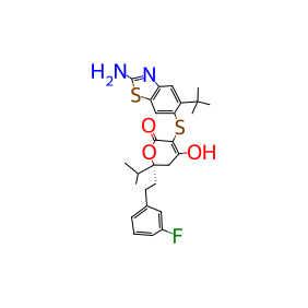 CC(C)[C@]1(CCc2cccc(F)c2)CC(O)=C(Sc2cc3sc(N)nc3cc2C(C)(C)C)C(=O)O1